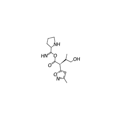 Cc1cc([C@@H](C(=O)OC(=N)C2CCCN2)C(C)CO)on1